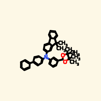 CC1(C)c2ccccc2-c2ccc(N(c3ccc(-c4ccccc4)cc3)c3cccc(C4OC(C)(C)C(C)(C)O4)c3)cc21